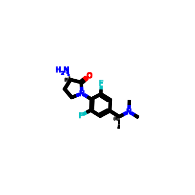 C[C@H](c1cc(F)c(N2CC[C@H](N)C2=O)c(F)c1)N(C)C